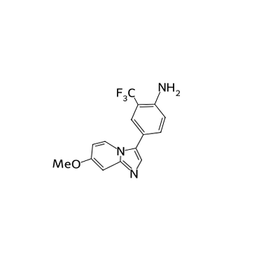 COc1ccn2c(-c3ccc(N)c(C(F)(F)F)c3)cnc2c1